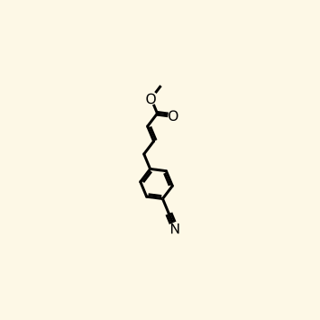 COC(=O)C=CCc1ccc(C#N)cc1